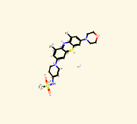 CCc1cc(N2CCOCC2)cc2[s+]c3cc(N4CCC(NS(=O)(=O)C(F)(F)F)CC4)cc(CC)c3nc12.[I-]